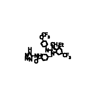 CCc1cc(C(F)(F)F)cc2c1n(C)c(=Nc1ccc(OC(F)(F)F)cc1)n2Cc1ccc(C(=O)Nc2nnn[nH]2)cc1